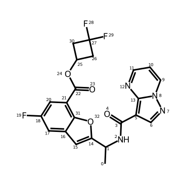 CC(NC(=O)c1cnn2cccnc12)c1cc2cc(F)cc(C(=O)OC3CC(F)(F)C3)c2o1